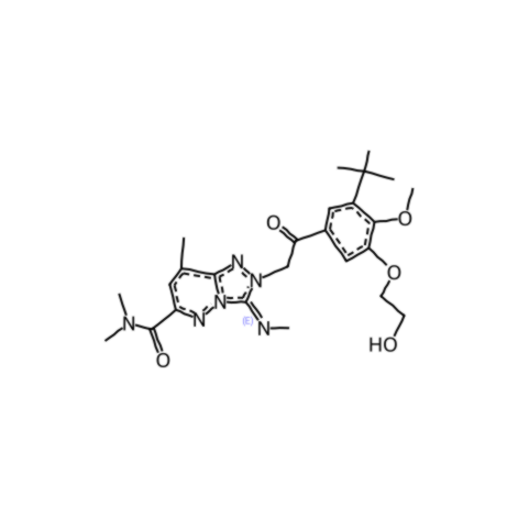 C/N=c1\n(CC(=O)c2cc(OCCO)c(OC)c(C(C)(C)C)c2)nc2c(C)cc(C(=O)N(C)C)nn12